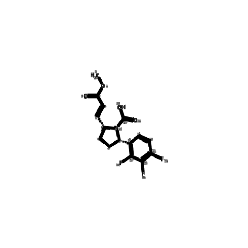 COC(=O)C=C[C@H]1CC[C@@H](c2ccc(F)c(F)c2F)N1C(=O)O